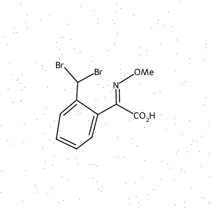 CON=C(C(=O)O)c1ccccc1C(Br)Br